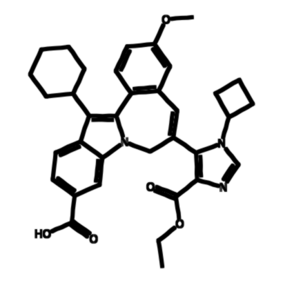 CCOC(=O)c1ncn(C2CCC2)c1C1=Cc2cc(OC)ccc2-c2c(C3CCCCC3)c3ccc(C(=O)O)cc3n2C1